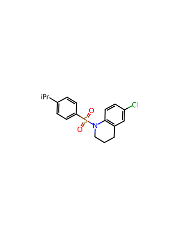 CC(C)c1ccc(S(=O)(=O)N2CCCc3cc(Cl)ccc32)cc1